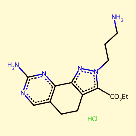 CCOC(=O)c1c2c(nn1CCCN)-c1nc(N)ncc1CC2.Cl